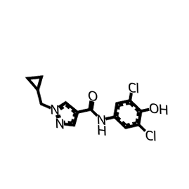 O=C(Nc1cc(Cl)c(O)c(Cl)c1)c1cnn(CC2CC2)c1